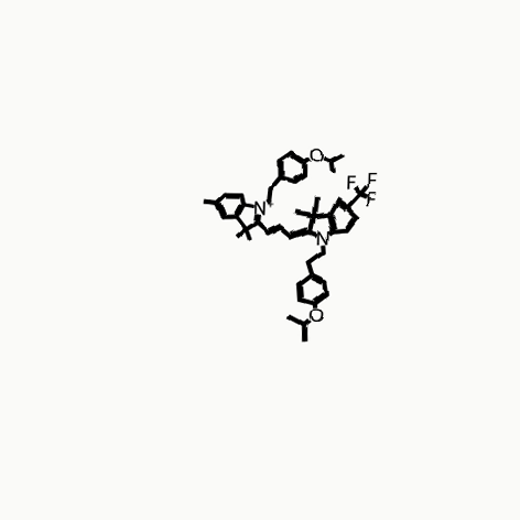 Cc1ccc2c(c1)C(C)(C)C(/C=C/C=C1/N(CCc3ccc(OC(C)C)cc3)c3ccc(C(F)(F)F)cc3C1(C)C)=[N+]2CCc1ccc(OC(C)C)cc1